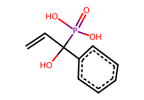 C=CC(O)(c1ccccc1)P(=O)(O)O